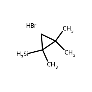 Br.CC1(C)CC1(C)[SiH3]